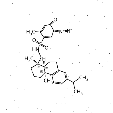 CC1=CC(=O)C(=[N+]=[N-])C=C1S(=O)(=O)NC[C@@]1(C)CCC[C@]2(C)c3ccc(C(C)C)cc3CC[C@@H]12